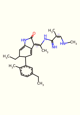 CCc1ccc(C)c(C2C=C3C(=CC2CC)NC(=O)/C3=C(/C)NC(=N)/C(C)=C\NC)c1